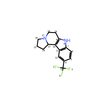 FC(F)(F)c1ccc2[nH]c3c(c2c1)C1CCCN1CC3